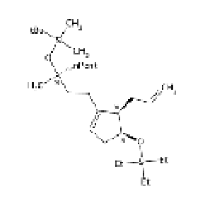 C=CC[C@@H]1C(CC[C@](C)(CCCCC)O[Si](C)(C)C(C)(C)C)=CC[C@@H]1O[Si](CC)(CC)CC